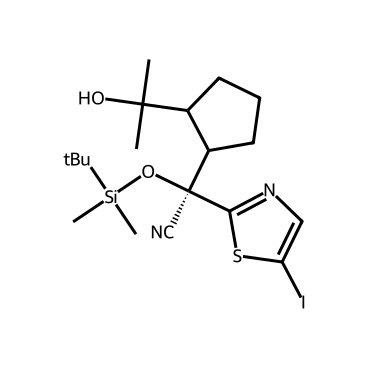 CC(C)(O)C1CCCC1[C@](C#N)(O[Si](C)(C)C(C)(C)C)c1ncc(I)s1